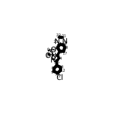 CS(=O)(=O)N1N=C(c2ccc(Cl)cc2)CC1c1ccc2nccnc2c1